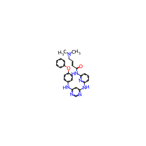 CN(C)CC=CC(=O)Nc1cccc(Nc2cc(Nc3ccc(Oc4ccccc4)cc3)ncn2)n1